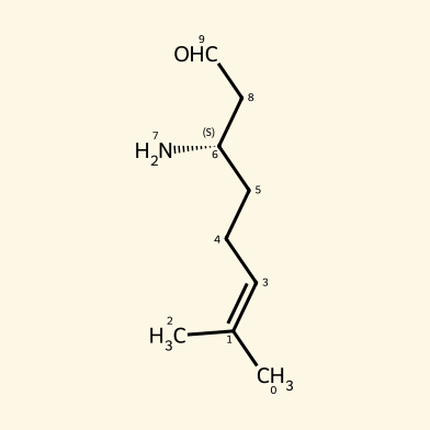 CC(C)=CCC[C@H](N)CC=O